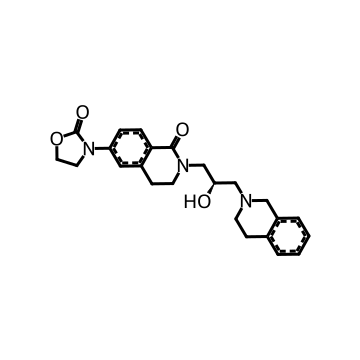 O=C1c2ccc(N3CCOC3=O)cc2CCN1C[C@H](O)CN1CCc2ccccc2C1